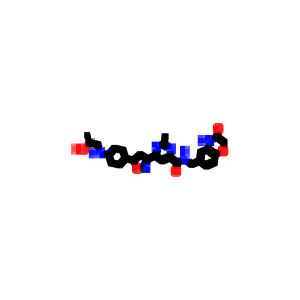 Cc1nc(C(=O)NCc2ccc3c(c2)NC(=O)CO3)cc(C2=NOC(C3CCC(NC[C@H](C)O)CC3)C2)n1